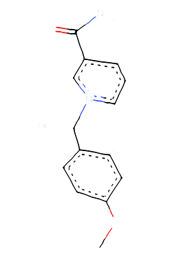 COc1ccc(C[n+]2cccc(C(N)=O)c2)cc1.[Br-]